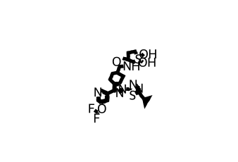 CC1(NC(=O)C2CCc3c(-c4cncc(OC(F)F)c4)nn(-c4nnc(C5CC5)s4)c3C2)CCS(O)(O)C1